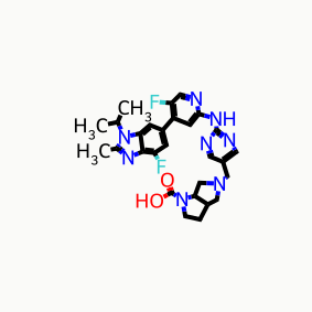 Cc1nc2c(F)cc(-c3cc(Nc4ncc(CN5CC6CCN(C(=O)O)C6C5)cn4)ncc3F)cc2n1C(C)C